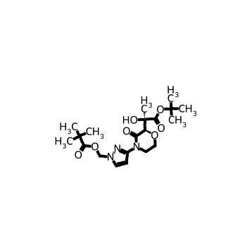 CC(C)(C)OC(=O)[C@](C)(O)[C@H]1OCCN(c2ccn(COC(=O)C(C)(C)C)n2)C1=O